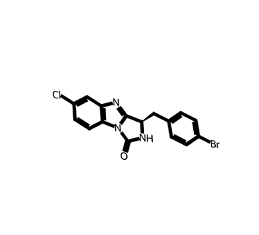 O=C1N[C@H](Cc2ccc(Br)cc2)c2nc3cc(Cl)ccc3n21